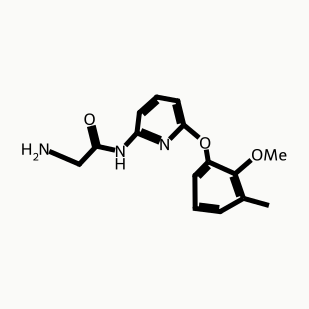 COc1c(C)cccc1Oc1cccc(NC(=O)CN)n1